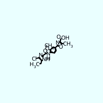 CCc1[nH]c(C(=O)Nc2ccc(-c3nc(C(=O)O)c(C)o3)cc2OC)nc1Cl